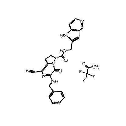 N#Cc1nc(NCc2ccccc2)c(=O)n2c1CC[C@H]2C(=O)NCc1cc2cnccc2[nH]1.O=C(O)C(F)(F)F